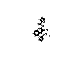 CN(c1ccco1)c1c(C#N)c(NC(=O)c2cccs2)nc2ccccc12